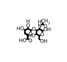 CC(=O)NC1C(O)OC(CO)C(O)C1OC1OC(C(=O)O)=CC(O)C1O